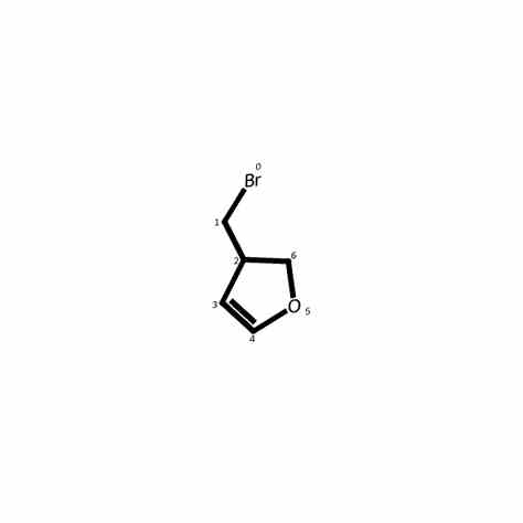 BrCC1C=COC1